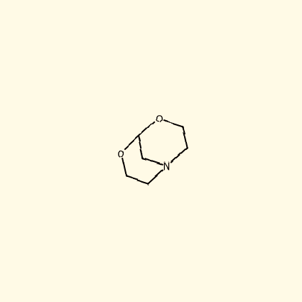 C1CN2CCOC(C2)O1